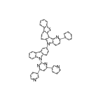 c1ccc(-c2ccc3c(n2)c2c4sc5ccccc5c4ccc2n3-c2ccc3c(c2)c2ccccc2n3-c2nc(-c3cccnc3)cc(-c3cccnc3)n2)cc1